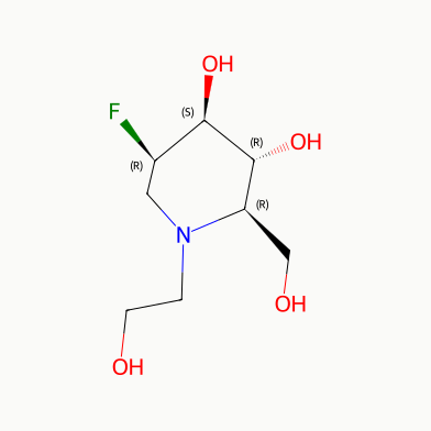 OCCN1C[C@@H](F)[C@@H](O)[C@H](O)[C@H]1CO